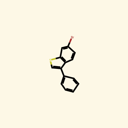 Brc1ccc2c(-c3ccccc3)csc2c1